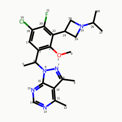 COc1c(C(C)n2nc(C)c3c(C)ncnc32)cc(Cl)c(F)c1C1CN(C(C)C)C1